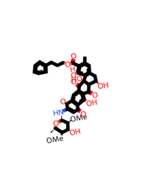 CO[C@@H]1[C@@H](O)[C@@H](OC)[C@@H](NC2=CC(=O)c3c(cc4c(c3O)C(=O)C3[C@H](O)Cc5cc(C)c(C(=O)OCCCc6ccccc6)c(O)c5[C@]3(O)C4=O)C2=O)O[C@H]1C